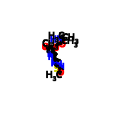 COc1cc(OCC(=O)NC(C)(C)C)c2cc(-c3cn4nc(OC)sc4n3)nn2c1